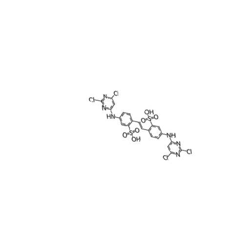 O=S(=O)(O)c1cc(Nc2cc(Cl)nc(Cl)n2)ccc1/C=C/c1ccc(Nc2cc(Cl)nc(Cl)n2)cc1S(=O)(=O)O